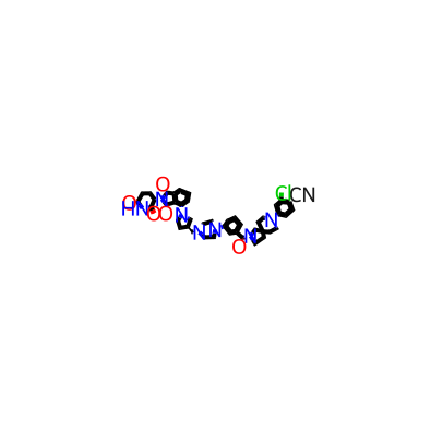 N#Cc1ccc(N2CCC3(CCN(C(=O)c4cccc(N5CCN(C[C@H]6CCN(c7cccc8c7C(=O)N(C7CCC(=O)NC7=O)C8=O)C6)CC5)c4)C3)CC2)cc1Cl